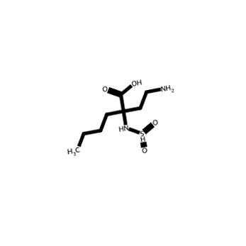 CCCCC(CCN)(N[SH](=O)=O)C(=O)O